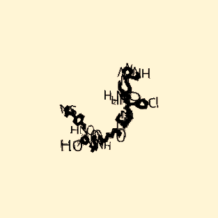 Cc1ncsc1-c1ccc(CNC(=O)[C@@H]2C[C@@H](O)CN2C(=O)C(NC(=O)CCCCC(=O)N2CCN(CCC(NC(=O)C3(N)CCN(c4ncnc5[nH]ccc45)CC3)c3ccc(Cl)cc3)CC2)C(C)(C)C)cc1